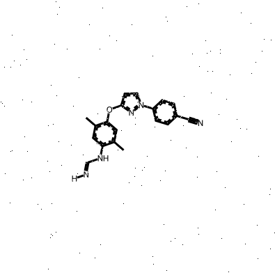 [H]/N=C/Nc1cc(C)c(Oc2ccn(-c3ccc(C#N)cc3)n2)cc1C